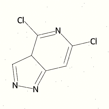 ClC1=CC2=NN=CC2C(Cl)=N1